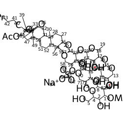 COC1C(O)C(CO)OC(OC2C(O)COC(OC3C(C)OC(OC4C(OC5CCC6(C)C7CCC89C(=O)OC(C)(CCCC(C)C)C8C(OC(C)=O)CC9(C)C7=CCC6C5(C)C)OCC(OS(=O)(=O)[O-])C4O)C(OC4OCC(O)C(O)C4O)C3O)C2O)C1O.[Na+]